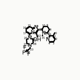 Cc1cccnc1[C@@H]1CCC[C@H](c2nc3cccc(N4CCN(CC(F)(F)F)CC4)n3c2CO)N1C